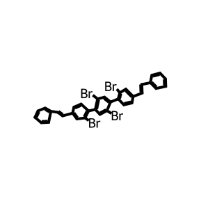 Brc1cc(/C=C/c2ccccc2)ccc1-c1cc(Br)c(-c2ccc(/C=C/c3ccccc3)cc2Br)cc1Br